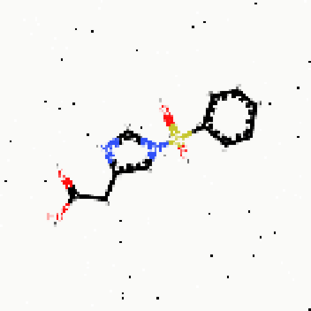 O=C(O)Cc1cn(S(=O)(=O)c2ccccc2)cn1